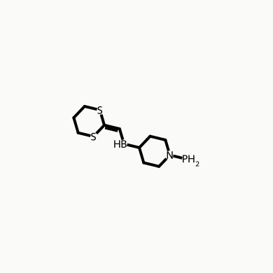 PN1CCC(BC=C2SCCCS2)CC1